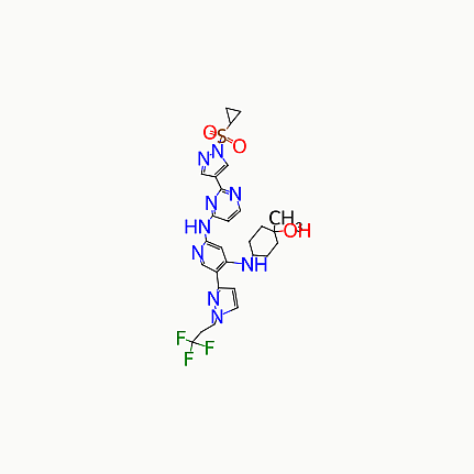 CC1(O)CCC(Nc2cc(Nc3ccnc(-c4cnn(S(=O)(=O)C5CC5)c4)n3)ncc2-c2ccn(CCC(F)(F)F)n2)CC1